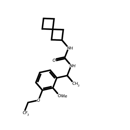 COc1c(OCC(F)(F)F)cccc1C(C)NC(=O)NC1CC2(CCC2)C1